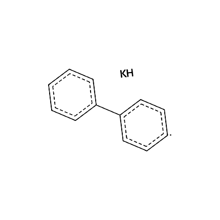 [KH].[c]1ccc(-c2ccccc2)cc1